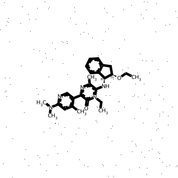 CCO[C@H]1Cc2ccccc2[C@H]1Nc1c(C)nc(-c2cnc(N(C)C)cc2C)c(=O)n1CC